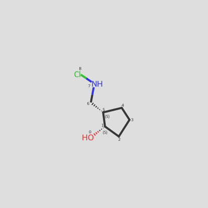 O[C@H]1CCC[C@H]1CNCl